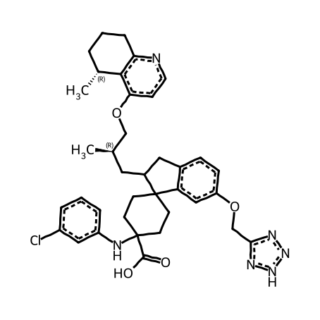 C[C@@H](COc1ccnc2c1[C@H](C)CCC2)CC1Cc2ccc(OCc3nn[nH]n3)cc2C12CCC(Nc1cccc(Cl)c1)(C(=O)O)CC2